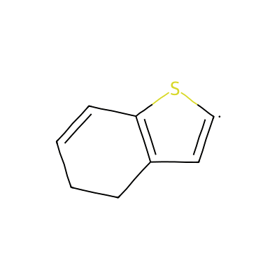 [c]1cc2c(s1)C=CCC2